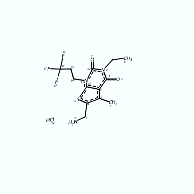 CCn1c(=O)c2c(C)c(CN)sc2n(CCC(F)(F)F)c1=O.Cl